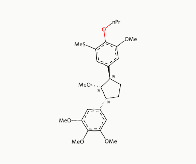 CCCOc1c(OC)cc([C@H]2CC[C@H](c3cc(OC)c(OC)c(OC)c3)[C@@H]2OC)cc1SC